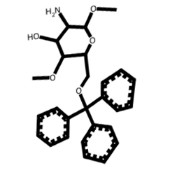 COC1OC(COC(c2ccccc2)(c2ccccc2)c2ccccc2)C(OC)C(O)C1N